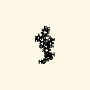 O=C(Nc1cc2nccn2c(N2CCC(F)(F)CC2)n1)c1ccc(NS(=O)(=O)CCO)cc1N1CCC2(CC1)CC2